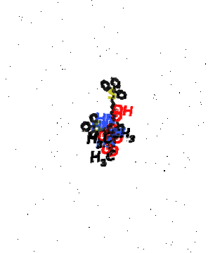 COC(=O)CNC(=O)C(C)(C)NC(=O)[C@@H](CSC(c1ccccc1)(c1ccccc1)c1ccccc1)NC(=O)[C@@H](Cc1cccnc1)NC(=O)C[C@H](O)/C=C/CCSC(c1ccccc1)(c1ccccc1)c1ccccc1